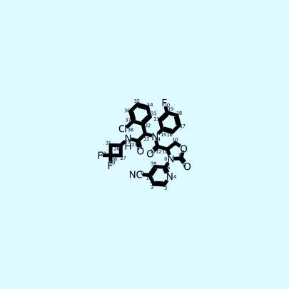 N#Cc1ccnc(N2C(=O)OCC2C(=O)N(c2cccc(F)c2)C(C(=O)NC2CC(F)(F)C2)c2ccccc2Cl)c1